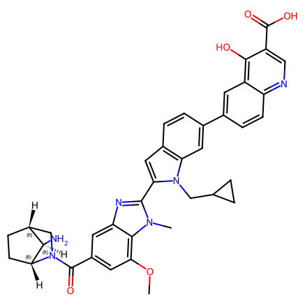 COc1cc(C(=O)N2C[C@H]3CC[C@@H]2[C@@H]3N)cc2nc(-c3cc4ccc(-c5ccc6ncc(C(=O)O)c(O)c6c5)cc4n3CC3CC3)n(C)c12